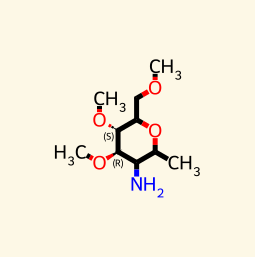 COCC1OC(C)C(N)[C@@H](OC)[C@@H]1OC